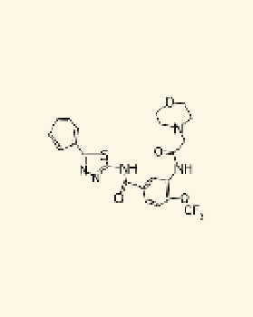 O=C(CN1CCOCC1)Nc1cc(C(=O)Nc2nnc(-c3ccccc3)s2)ccc1OC(F)(F)F